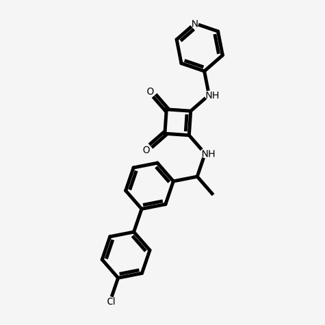 CC(Nc1c(Nc2ccncc2)c(=O)c1=O)c1cccc(-c2ccc(Cl)cc2)c1